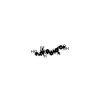 Cc1c(Nc2nc(C(F)F)nc3cc(CN4CC[C@H](O)C4)cnc23)cccc1-c1cccc(-c2nc3cc(CN4CCC(C(=O)O)CC4)cc(C#N)c3o2)c1C